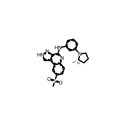 C[C@H]1CCCN1c1cccc(Nc2nc3ccc(S(C)(=O)=O)cc3c3c[nH]nc23)c1